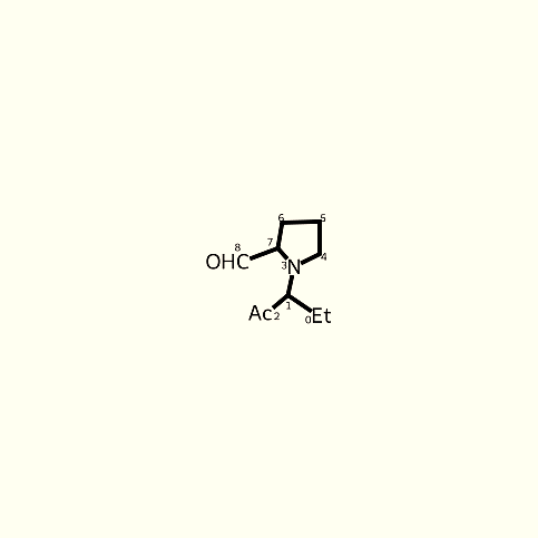 CCC(C(C)=O)N1CCCC1C=O